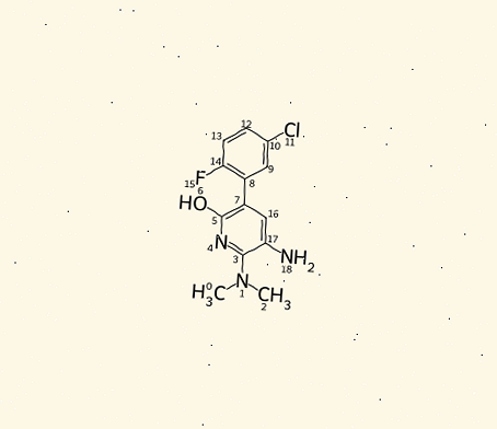 CN(C)c1nc(O)c(-c2cc(Cl)ccc2F)cc1N